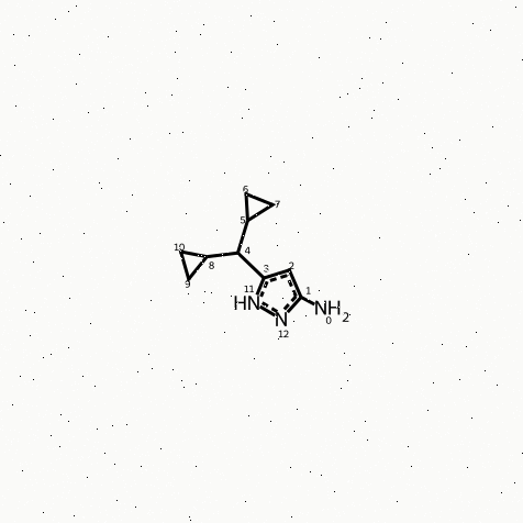 Nc1cc(C(C2CC2)C2CC2)[nH]n1